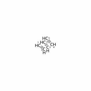 C#C.C#C.C#C